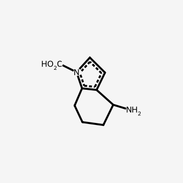 NC1CCCc2c1ccn2C(=O)O